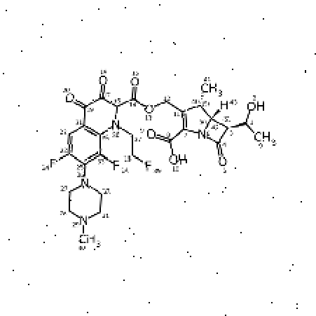 CC(O)[C@H]1C(=O)N2C(C(=O)O)=C(COC(=O)C3C(=O)C(=O)c4cc(F)c(N5CCN(C)CC5)c(F)c4N3CCF)[C@H](C)[C@H]12